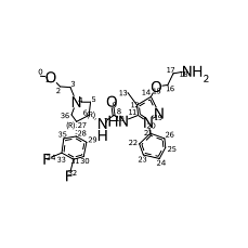 COCCN1C[C@H](NC(=O)Nc2c(C)c(OCCN)nn2-c2ccccc2)[C@H](c2ccc(F)c(F)c2)C1